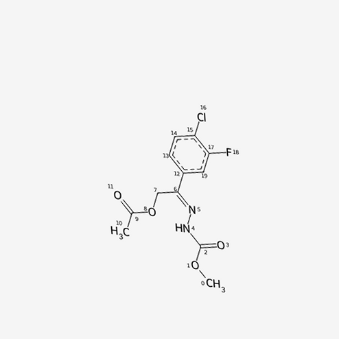 COC(=O)NN=C(COC(C)=O)c1ccc(Cl)c(F)c1